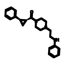 O=C([C@@H]1C[C@H]1c1ccccc1)N1CCN(CCNc2ccccc2)CC1